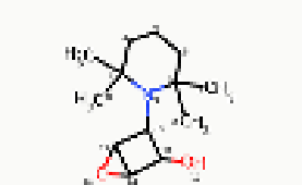 CC1(C)CCCC(C)(C)N1C1C(O)C2OC21